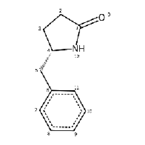 O=C1CC[C@@H](Cc2ccccc2)N1